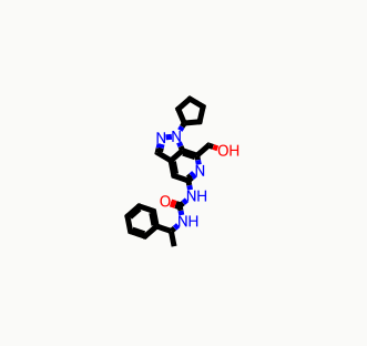 CC(NC(=O)Nc1cc2cnn(C3CCCC3)c2c(CO)n1)c1ccccc1